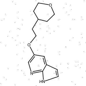 c1cc2cc(OCCC3CCOCC3)cnc2[nH]1